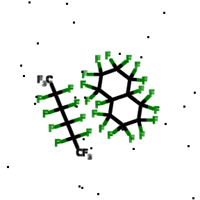 FC(F)(F)C(F)(F)C(F)(F)C(F)(F)C(F)(F)C(F)(F)F.FC1(F)C(F)(F)C(F)(F)C2(F)C(F)(F)C(F)(F)C(F)(F)C(F)(F)C2(F)C1(F)F